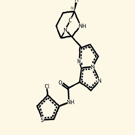 O=C(Nc1cscc1Cl)c1cnn2ccc(N3C[C@@H]4CCC3CN4)nc12